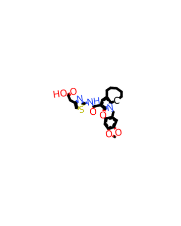 O=C(O)Cc1csc(NC(=O)c2cc3c(n(Cc4ccc5c(c4)OCO5)c2=O)CCCCCC3)n1